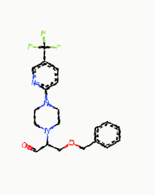 O=CC(COCc1ccccc1)N1CCN(c2ccc(C(F)(F)F)cn2)CC1